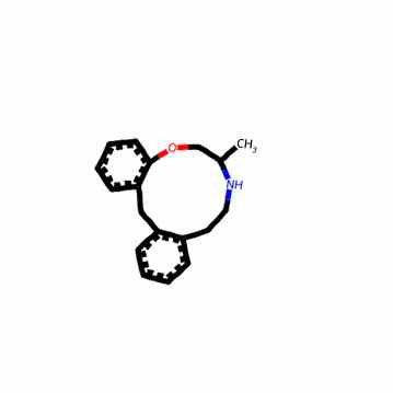 CC1COc2ccccc2Cc2ccccc2CCN1